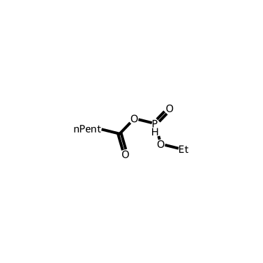 CCCCCC(=O)O[PH](=O)OCC